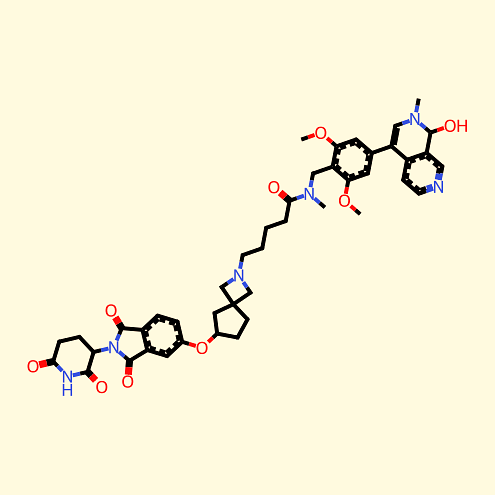 COc1cc(C2=CN(C)C(O)c3cnccc32)cc(OC)c1CN(C)C(=O)CCCCN1CC2(CCC(Oc3ccc4c(c3)C(=O)N(C3CCC(=O)NC3=O)C4=O)C2)C1